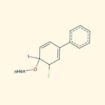 CCCCCCOC1(I)C=CC(c2ccccc2)=CC1F